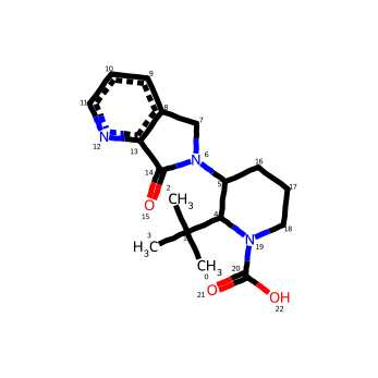 CC(C)(C)C1C(N2Cc3cccnc3C2=O)CCCN1C(=O)O